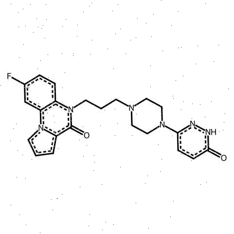 O=c1ccc(N2CCN(CCCn3c(=O)c4cccn4c4cc(F)ccc43)CC2)n[nH]1